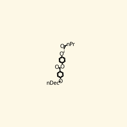 CCCCCCCCCCOc1ccc(C(=O)Oc2ccc(OC[C@@H]3OC3CCC)cc2)cc1